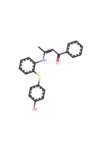 C/C(=C/C(=O)c1ccccc1)Nc1ccccc1Sc1ccc(O)cc1